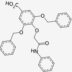 O=C(COc1c(OCc2ccccc2)cc(C(=O)O)cc1OCc1ccccc1)Nc1ccccc1